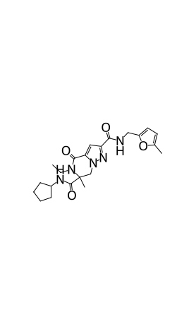 CCN1C(=O)c2cc(C(=O)NCc3ccc(C)o3)nn2CC1(C)C(=O)NC1CCCC1